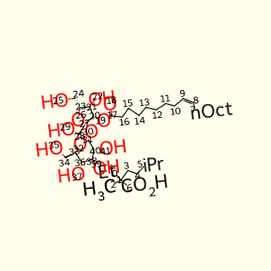 CCC(C)(CCC(C)C)C(=O)O.CCCCCCCC/C=C\CCCCCCCC(=O)O[C@H]1[C@H](O)[C@@H](CO)O[C@@]1(CO)O[C@H]1O[C@H](CO)[C@@H](O)[C@H](O)[C@H]1O